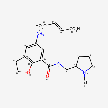 CCN1CCCC1CNC(=O)c1cc(N)cc2c1OCC2.O=C(O)C=CC(=O)O